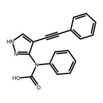 O=C(O)N(c1ccccc1)c1n[nH]cc1C#Cc1ccccc1